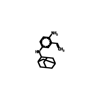 C=Cc1cc(NC2C3CC4CC(C3)CC2C4)ccc1N